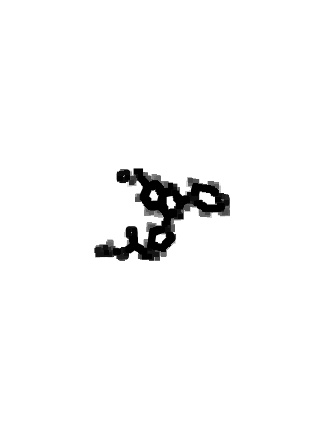 CC(C)(C)OC(=O)N[C@@H]1CCN(c2nc(N3CCOCC3)nc3cc([N+](=O)[O-])ccc23)C1